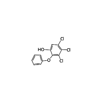 Oc1cc(Cl)c(Cl)c(Cl)c1Oc1ccccc1